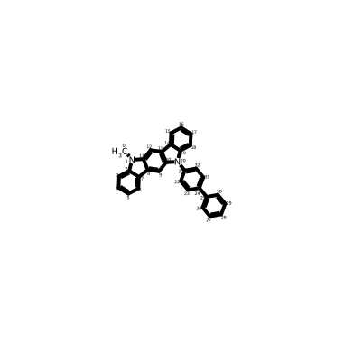 Cn1c2ccccc2c2cc3c(cc21)c1ccccc1n3-c1ccc(-c2ccccc2)cc1